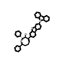 CCC1/C(c2ccc3c(c2)sc2cc(-n4c5ccccc5c5ccccc54)ccc23)=C\CC/C(c2ccccc2)=N\[C@@H]1c1ccccc1